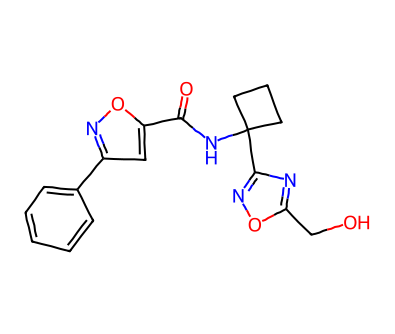 O=C(NC1(c2noc(CO)n2)CCC1)c1cc(-c2ccccc2)no1